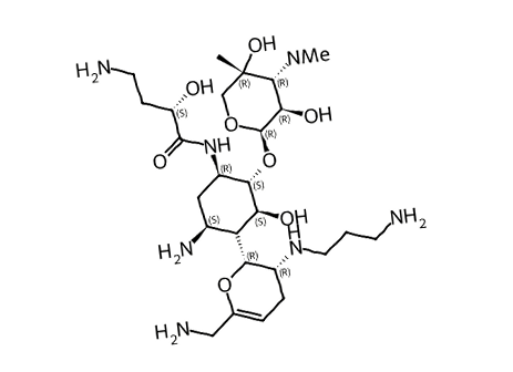 CN[C@@H]1[C@@H](O)[C@@H](O[C@H]2[C@H](NC(=O)[C@@H](O)CCN)C[C@H](N)C([C@H]3OC(CN)=CC[C@H]3NCCCN)[C@@H]2O)OC[C@]1(C)O